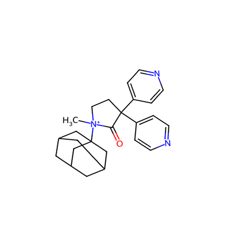 C[N+]1(C23CC4CC(CC(C4)C2)C3)CCC(c2ccncc2)(c2ccncc2)C1=O